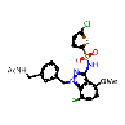 COc1ccc(F)c2c1c(NS(=O)(=O)c1ccc(Cl)s1)nn2Cc1cccc(CNC(C)=O)c1